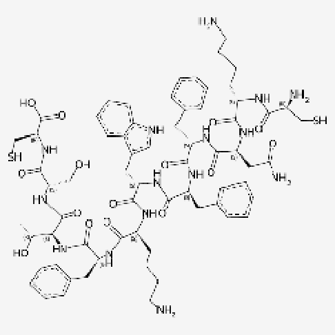 C[C@@H](O)[C@H](NC(=O)[C@H](Cc1ccccc1)NC(=O)[C@H](CCCCN)NC(=O)[C@H](Cc1c[nH]c2ccccc12)NC(=O)[C@H](Cc1ccccc1)NC(=O)[C@H](Cc1ccccc1)NC(=O)[C@H](CC(N)=O)NC(=O)[C@H](CCCCN)NC(=O)[C@@H](N)CS)C(=O)N[C@@H](CO)C(=O)N[C@@H](CS)C(=O)O